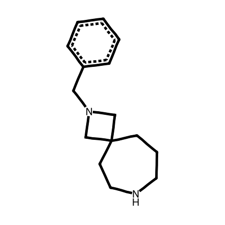 c1ccc(CN2CC3(CCCNCC3)C2)cc1